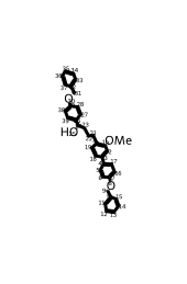 COc1cc(-c2ccc(OCc3ccccc3)cc2)ccc1CCCC(O)c1ccc(OCc2ccccc2)cc1